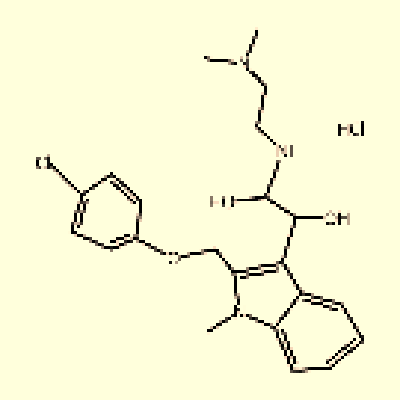 CN(C)CCNC(O)C(O)c1c(COc2ccc(Cl)cc2)n(C)c2ccccc12.Cl